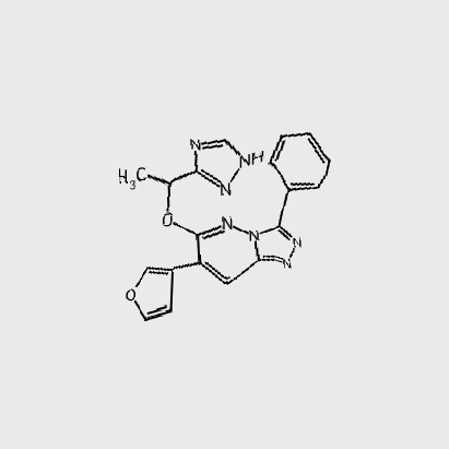 CC(Oc1nn2c(-c3ccccc3)nnc2cc1-c1ccoc1)c1nc[nH]n1